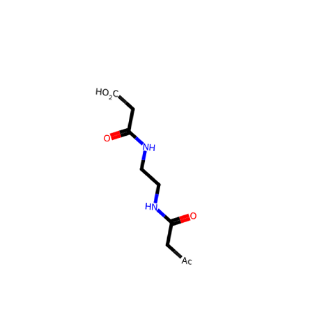 CC(=O)CC(=O)NCCNC(=O)CC(=O)O